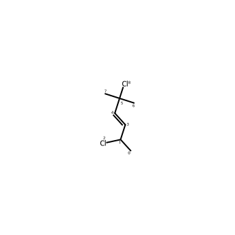 CC(Cl)C=CC(C)(C)Cl